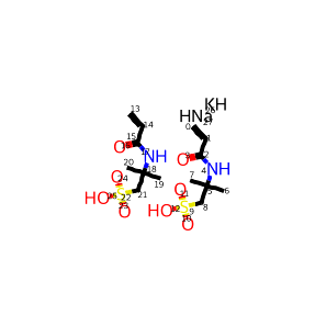 C=CC(=O)NC(C)(C)CS(=O)(=O)O.C=CC(=O)NC(C)(C)CS(=O)(=O)O.[KH].[NaH]